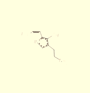 C/C=C\c1[nH]cc(CCN)c1C